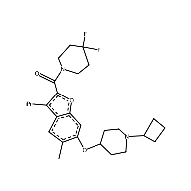 Cc1cc2c(C(C)C)c(C(=O)N3CCC(F)(F)CC3)oc2cc1OC1CCN(C2CCC2)CC1